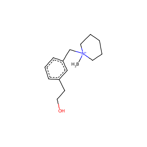 B[N+]1(Cc2cccc(CCO)c2)CCCCC1